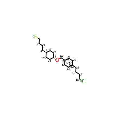 FCCCC[C@H]1CC[C@H](OCC23CCC(CCCCCl)(CC2)CC3)CC1